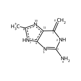 C=C1NC(N)=Nc2[nH]c(C)nc21